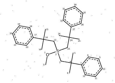 C[O][Ti]([CH2]C(C)(C)c1ccccc1)([CH2]C(C)(C)c1ccccc1)[CH2]C(C)(C)c1ccccc1